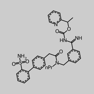 CCCN(Cc1cccc(C(=N)NC(=O)OC(C)c2ccccn2)c1)C(=O)Cc1ccc(-c2ccccc2S(N)(=O)=O)cc1